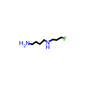 NCCCCNCCCF